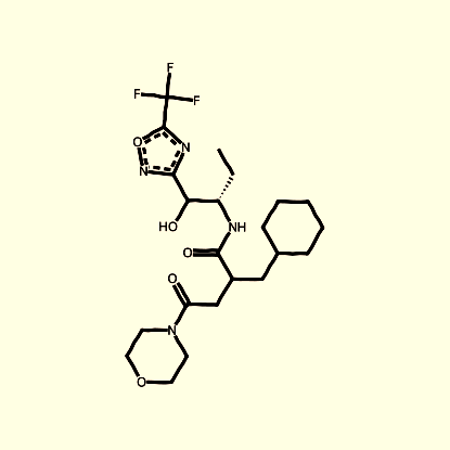 CC[C@H](NC(=O)C(CC(=O)N1CCOCC1)CC1CCCCC1)C(O)c1noc(C(F)(F)F)n1